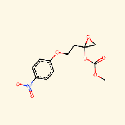 COC(=O)OC1(CCOc2ccc([N+](=O)[O-])cc2)CO1